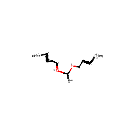 CCCCCC/C=C/COC(OC/C=C/CCCCCC)C(C)(C)C